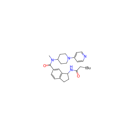 CN(C(=O)c1ccc2c(c1)C(NC(=O)CC(C)(C)C)CC2)C1CCN(c2ccncc2)CC1